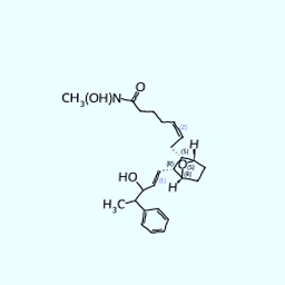 CC(c1ccccc1)C(O)/C=C/[C@@H]1[C@H](C/C=C\CCCC(=O)N(C)O)[C@@H]2CC[C@H]1O2